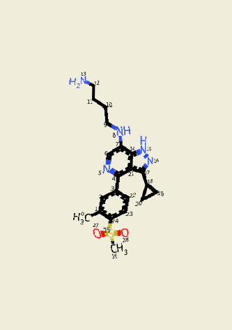 Cc1cc(-c2ncc(NCCCCN)c3[nH]nc(C4CC4)c23)ccc1S(C)(=O)=O